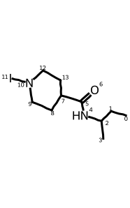 CCC(C)NC(=O)C1CCN(I)CC1